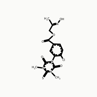 CC(COC(=O)c1ccc(Cl)c(-n2c(=O)n(C)c(=S)n(C)c2=O)c1)=NO